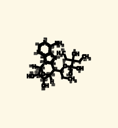 CCC(OP(=O)(O)C(O)(CC)CC)C1c2nc3c(N)ncnc3n2[C@@H]2O[C@H]1[C@@H](O)[C@H]2O